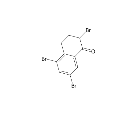 O=C1c2cc(Br)cc(Br)c2CCC1Br